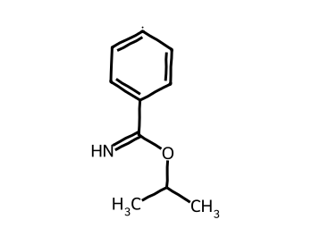 CC(C)OC(=N)c1cc[c]cc1